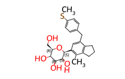 CSc1ccc(Cc2cc([C@@H]3O[C@H](CO)C(O)[C@H](O)[C@@H]3O)c(C)c3c2CCC3)cc1